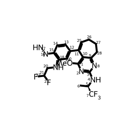 COc1nc(N[C@H](C)C(F)(F)F)nc2c1C(c1ccc(N=N)c(NCC(F)F)c1)=CCCC2